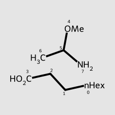 CCCCCCCCC(=O)O.COC(C)N